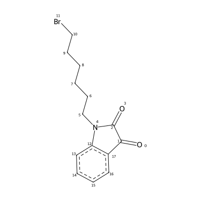 O=C1C(=O)N(CCCCCCBr)c2ccccc21